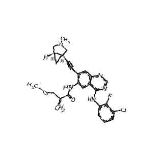 C=C(COC)C(=O)Nc1cc2c(Nc3cccc(Cl)c3F)ncnc2cc1C#C[C@@]12C[C@@H]1CN(C)C2